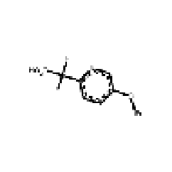 CC(C)Oc1ccc(C(F)(F)C(=O)O)nc1